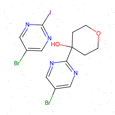 Brc1cnc(I)nc1.OC1(c2ncc(Br)cn2)CCOCC1